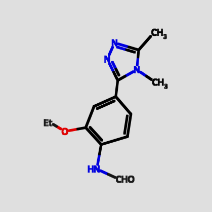 CCOc1cc(-c2nnc(C)n2C)ccc1NC=O